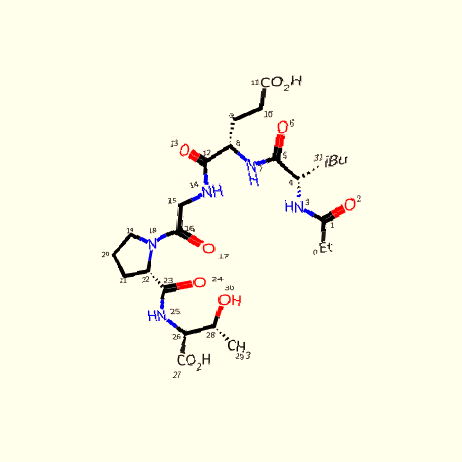 CCC(=O)N[C@H](C(=O)N[C@@H](CCC(=O)O)C(=O)NCC(=O)N1CCC[C@H]1C(=O)N[C@H](C(=O)O)[C@@H](C)O)[C@@H](C)CC